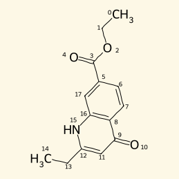 CCOC(=O)c1ccc2c(=O)cc(CC)[nH]c2c1